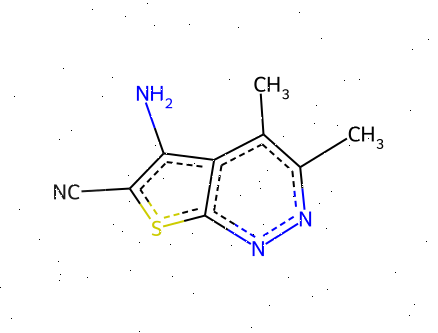 Cc1nnc2sc(C#N)c(N)c2c1C